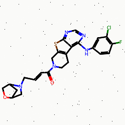 O=C(C=CCN1CC2CC1CO2)N1CCc2c(sc3ncnc(Nc4ccc(F)c(Cl)c4)c23)C1